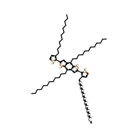 C=C=C=C=C=C=C=C=C=C=C=Cc1ccsc1-c1cc2c(CCCCCCCCCCCC)c3sc(-c4sccc4CCCCCCCCCCCC)cc3c(CCCCCCCCCCCC)c2s1